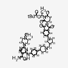 CC(OC(=O)C(C)(C)C)N1C(=O)CCC(N2C(=O)c3ccc(N4CCC(CN5CCC(c6ccc(Nc7nc(N8CCN(C)CC8)nnc7C(N)=O)cc6)CC5)C4)cc3C2=O)C1=O